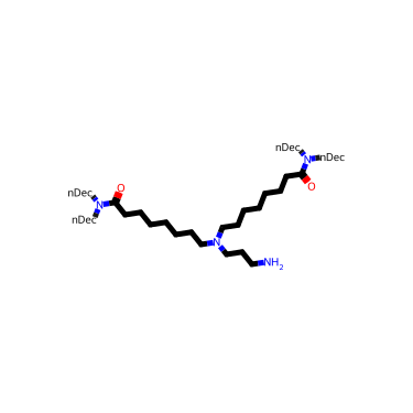 CCCCCCCCCCN(CCCCCCCCCC)C(=O)CCCCCCCN(CCCN)CCCCCCCC(=O)N(CCCCCCCCCC)CCCCCCCCCC